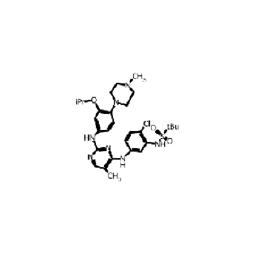 Cc1cnc(Nc2ccc(N3CCN(C)CC3)c(OC(C)C)c2)nc1Nc1ccc(Cl)c(NS(=O)(=O)C(C)(C)C)c1